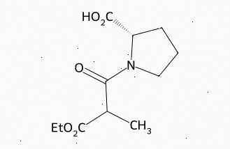 CCOC(=O)C(C)C(=O)N1CCC[C@H]1C(=O)O